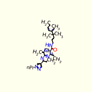 C=C/C=C\C(=C/C)C(C)(C)CCCNC(=O)NC(=C/C)/N=C(/N=C(\C=C)c1cnn(CCC)c1)C(=C)C